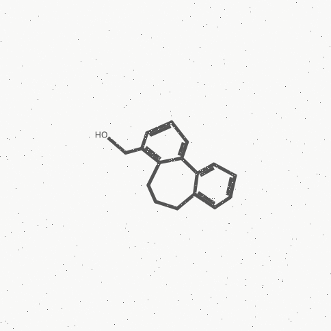 OCc1cccc2c1CCCc1ccccc1-2